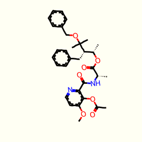 COc1ccnc(C(=O)N[C@@H](C)C(=O)O[C@@H](C)[C@H](Cc2ccccc2)C(C)(C)OCc2ccccc2)c1OC(C)=O